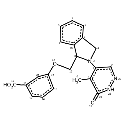 Cc1c(N2Cc3ccccc3C2COc2cccc(C(=O)O)c2)cn[nH]c1=O